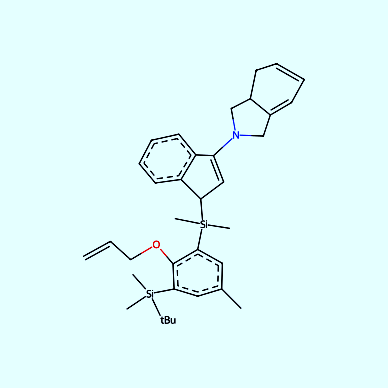 C=CCOc1c([Si](C)(C)C2C=C(N3CC4=CC=CCC4C3)c3ccccc32)cc(C)cc1[Si](C)(C)C(C)(C)C